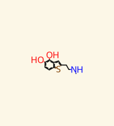 CNCCc1cc2c(O)c(O)ccc2s1